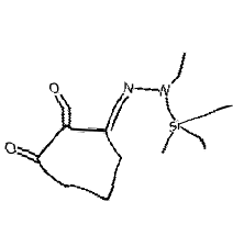 CN(N=C1CCCC(=O)C1=O)[Si](C)(C)C